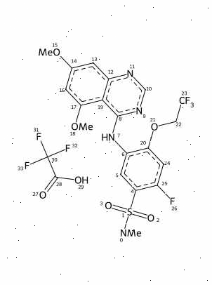 CNS(=O)(=O)c1cc(Nc2ncnc3cc(OC)cc(OC)c23)c(OCC(F)(F)F)cc1F.O=C(O)C(F)(F)F